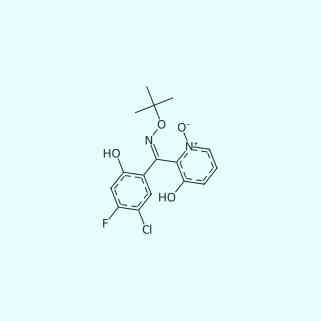 CC(C)(C)ON=C(c1cc(Cl)c(F)cc1O)c1c(O)ccc[n+]1[O-]